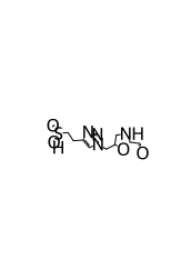 O=CC1NCC(Cn2cc(CC[SH](=O)=O)nn2)O1